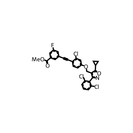 COC(=O)c1cc(F)cc(C#Cc2ccc(OCc3c(-c4c(Cl)cccc4Cl)noc3C3CC3)cc2Cl)c1